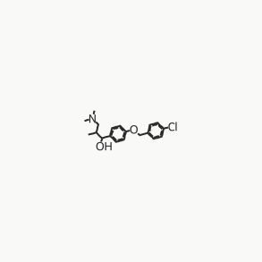 CC(CN(C)C)C(O)c1ccc(OCc2ccc(Cl)cc2)cc1